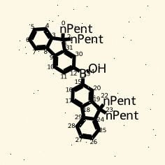 CCCCCC1(CCCCC)c2ccccc2-c2ccc(B(O)c3ccc4c(c3)C(CCCCC)(CCCCC)c3ccccc3-4)cc21